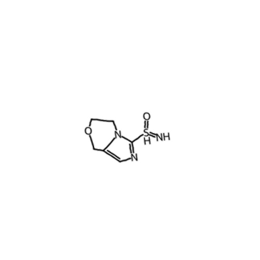 N=[SH](=O)c1ncc2n1CCOC2